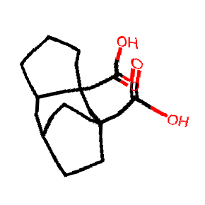 O=C(O)C12CCC(C1)C1CCCC12C(=O)O